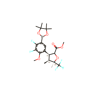 COC(=O)C1O[C@@](C)(C(F)(F)F)[C@@H](C)[C@H]1c1cc(B2OC(C)(C)C(C)(C)O2)c(F)c(F)c1OC